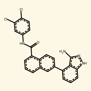 Nc1n[nH]c2cccc(-c3ccc4c(C(=O)Nc5ccc(Cl)c(Cl)c5)cccc4c3)c12